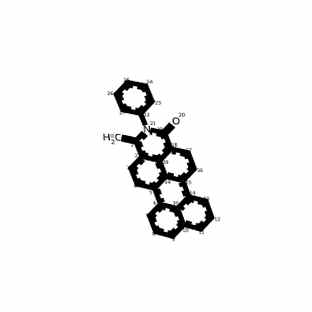 C=c1c2ccc3c4cccc5cccc(c6ccc(c(=O)n1-c1ccccc1)c2c36)c54